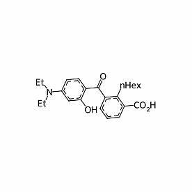 CCCCCCc1c(C(=O)O)cccc1C(=O)c1ccc(N(CC)CC)cc1O